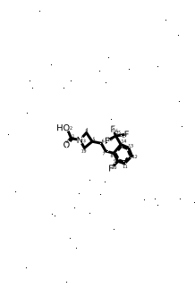 O=C(O)N1CC(CCc2c(F)cccc2C(F)(F)F)C1